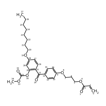 C=CC(=O)OCCCOc1ccc(C(=O)c2ccc(OCCCCCCCC)cc2OC(=O)OC)cc1